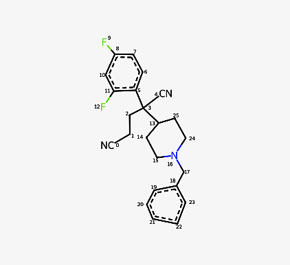 N#CCCC(C#N)(c1ccc(F)cc1F)C1CCN(Cc2ccccc2)CC1